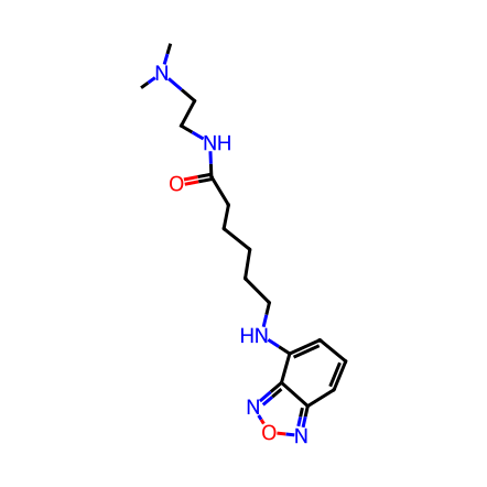 CN(C)CCNC(=O)CCCCCNc1cccc2nonc12